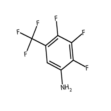 Nc1cc(C(F)(F)F)c(F)c(F)c1F